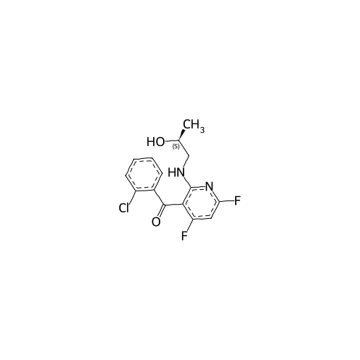 C[C@H](O)CNc1nc(F)cc(F)c1C(=O)c1ccccc1Cl